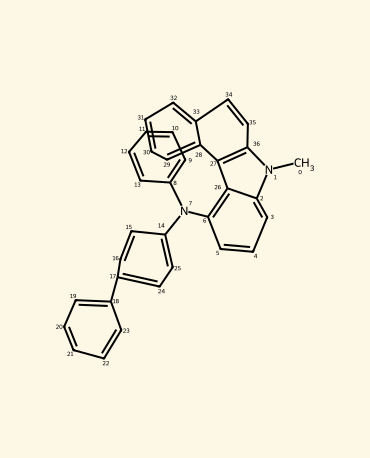 Cn1c2cccc(N(c3ccccc3)c3ccc(-c4ccccc4)cc3)c2c2c3ccccc3ccc21